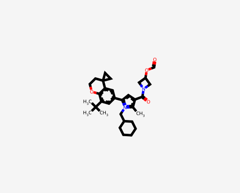 Cc1c(C(=O)N2CC(OC=O)C2)cc(-c2cc(C(C)(C)C)c3c(c2)C2(CCO3)CC2)n1CC1CCCCC1